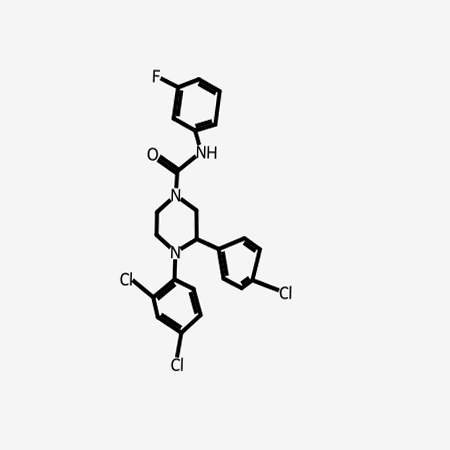 O=C(Nc1cccc(F)c1)N1CCN(c2ccc(Cl)cc2Cl)C(c2ccc(Cl)cc2)C1